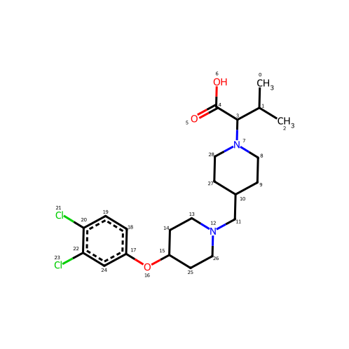 CC(C)C(C(=O)O)N1CCC(CN2CCC(Oc3ccc(Cl)c(Cl)c3)CC2)CC1